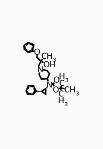 CC(O)(COc1ccccc1)CN1CCC(N(C(=O)OC(C)(C)C)[C@@H]2C[C@H]2c2ccccc2)CC1